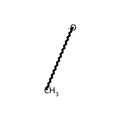 CCCCCCCCCCCCCCCCCCCCCCCCCCCCC[C]=O